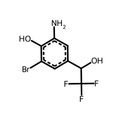 Nc1cc(C(O)C(F)(F)F)cc(Br)c1O